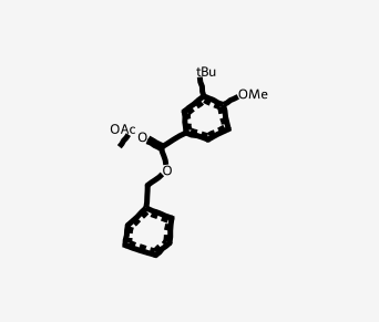 COC(C)=O.COc1ccc(C(=O)OCc2ccccc2)cc1C(C)(C)C